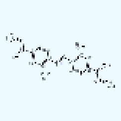 C=CC(=O)c1ccc(/C=C/c2ccc(C(=O)C=C)cc2CCC)c(CCC)c1